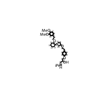 COc1ccc(CCOC2CCCCC2N2CC[C@@H](OCCc3ccc(OCC(O)CNC(C)C)cc3)C2)cc1OC